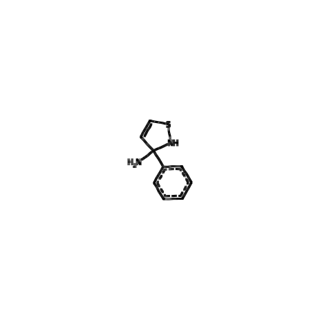 NC1(c2ccccc2)C=CSN1